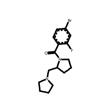 O=C(c1ccc(Br)cc1F)N1CCCC1CN1CCCC1